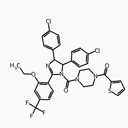 CCOc1cc(C(F)(F)F)ccc1C1=NC(c2ccc(Cl)cc2)C(c2ccc(Cl)cc2)N1C(=O)N1CCN(C(=O)c2cccs2)CC1